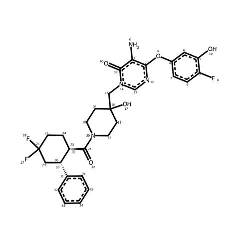 Nc1c(Oc2ccc(F)c(O)c2)ncn(CC2(O)CCN(C(=O)[C@@H]3CCC(F)(F)C[C@H]3c3ccccc3)CC2)c1=O